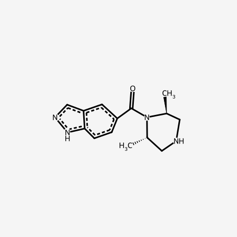 C[C@H]1CNC[C@H](C)N1C(=O)c1ccc2[nH]ncc2c1